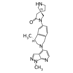 C[C@H]1CN(c2ccnc3c2cnn3C)Cc2ccc(N3C[C@@]4(CCNC4)CC3=O)cc21